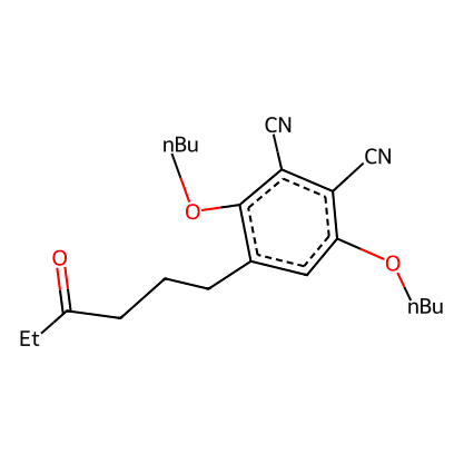 CCCCOc1cc(CCCC(=O)CC)c(OCCCC)c(C#N)c1C#N